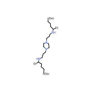 CCCCCCCCCCCCCC(CC)NCCCN1CCN(CCCNC(CC)CCCCCCCCCCCCC)CC1